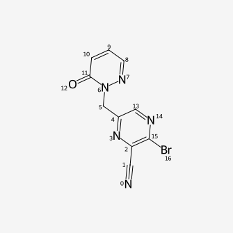 N#Cc1nc(Cn2ncccc2=O)cnc1Br